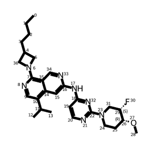 CCCCC1CN(c2ncc(C(C)C)c3cc(Nc4ccnc(N5CC[C@@H](OC)[C@@H](F)C5)n4)ncc23)C1